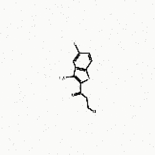 Cc1c(C(=O)CCCl)sc2ccc(F)cc12